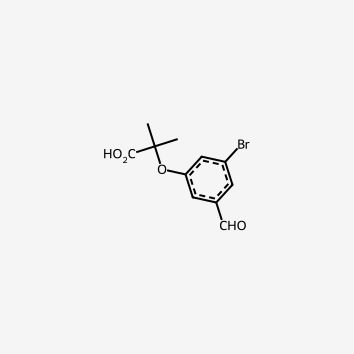 CC(C)(Oc1cc(Br)cc(C=O)c1)C(=O)O